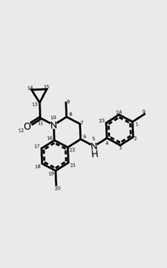 Cc1ccc(NC2CC(C)N(C(=O)C3CC3)c3ccc(C)cc32)cc1